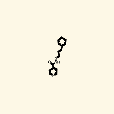 O=C(N/N=C/C=C/c1ccccc1)c1ccncc1